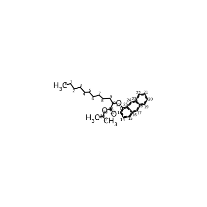 CCCCCCCCCCC(Oc1cccc2cc3ccccc3cc12)C(=O)OC(C)C